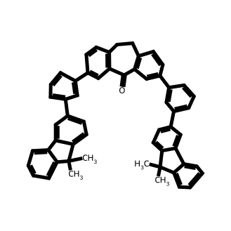 CC1(C)c2ccccc2-c2cc(-c3cccc(-c4ccc5c(c4)C(=O)c4cc(-c6cccc(-c7ccc8c(c7)-c7ccccc7C8(C)C)c6)ccc4CC5)c3)ccc21